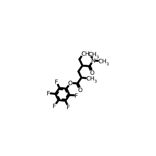 CCC(CC(C)C(=O)Oc1c(F)c(F)c(F)c(F)c1F)C(=O)N(C)C